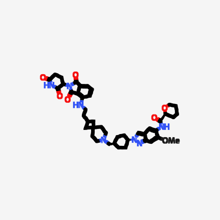 COc1cc2nn([C@H]3CC[C@H](CN4CCC5(CC4)CC(CCNc4cccc6c4C(=O)N(C4CCC(=O)NC4=O)C6=O)C5)CC3)cc2cc1NC(=O)[C@@H]1CCCCO1